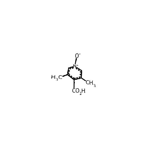 Cc1c[n+]([O-])cc(C)c1C(=O)O